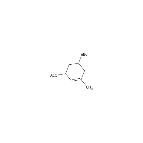 CCCCC1CC(C)=CC(OC(C)=O)C1